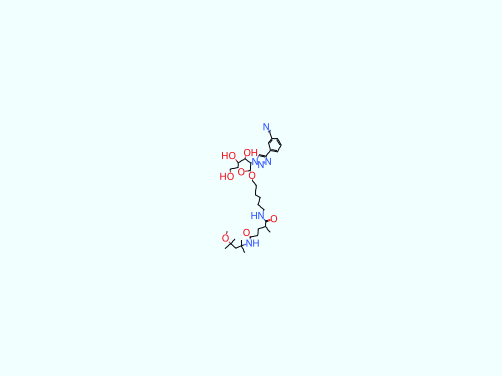 COC(C)(C)CC(C)(C)NC(=O)CCC(C)C(=O)NCCCCCCOC1OC(CO)C(O)C(O)C1n1cc(-c2cccc(C#N)c2)nn1